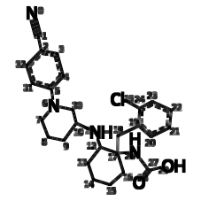 N#Cc1ccc(N2CCCC(NC3CCCCC3(Cc3ccccc3Cl)NC(=O)O)C2)cc1